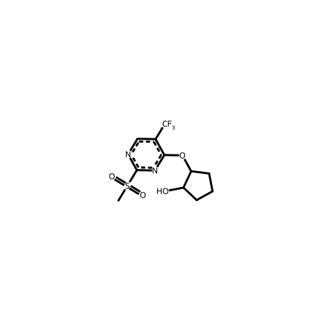 CS(=O)(=O)c1ncc(C(F)(F)F)c(OC2CCCC2O)n1